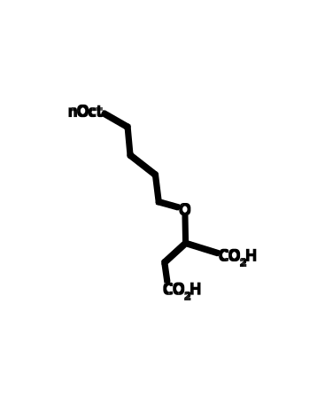 CCCCCCCCCCCCOC(CC(=O)O)C(=O)O